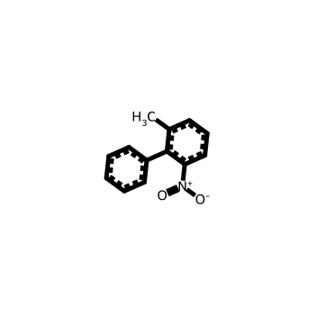 Cc1cccc([N+](=O)[O-])c1-c1ccccc1